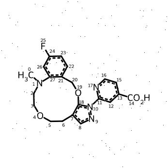 CN1CCOCCc2cnn(-c3cc(C(=O)O)ccn3)c2OCc2ccc(F)cc21